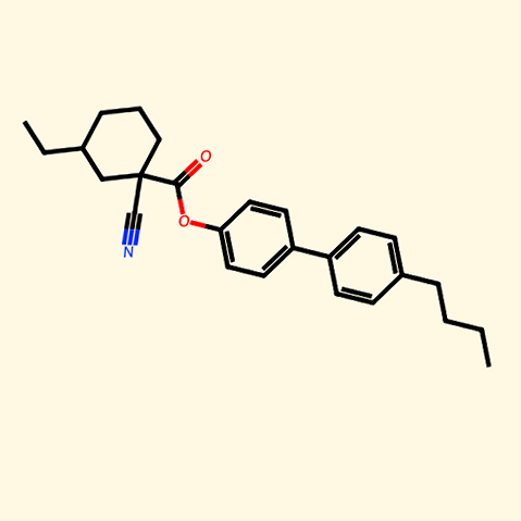 CCCCc1ccc(-c2ccc(OC(=O)C3(C#N)CCCC(CC)C3)cc2)cc1